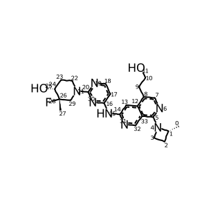 C[C@@H]1CCN1c1ncc(CCO)c2cc(Nc3ccnc(N4CC[C@@H](O)[C@@](C)(F)C4)n3)ncc12